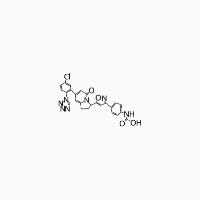 O=C(O)Nc1ccc(-c2cc(C3CCc4cc(-c5cc(Cl)ccc5-n5cnnn5)cc(=O)n43)on2)cc1